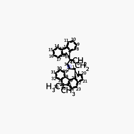 C=C(/C=C\C(=C)n1c2ccccc2c2ccccc21)n1ccc2ccc3c(c21)-c1ccccc1C3(C)C